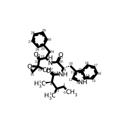 CCC(C)[C@@H](C)C(=O)N[C@@H](Cc1c[nH]c2ccccc12)C(=O)NC(Cc1ccccc1)C(=O)C1(C)CO1